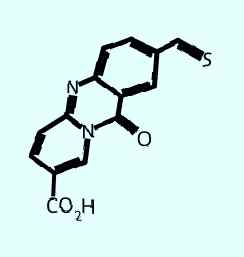 O=C(O)c1ccc2nc3ccc(C=S)cc3c(=O)n2c1